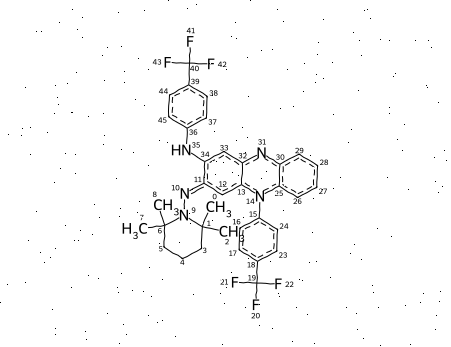 CC1(C)CCCC(C)(C)N1N=c1cc2n(-c3ccc(C(F)(F)F)cc3)c3ccccc3nc-2cc1Nc1ccc(C(F)(F)F)cc1